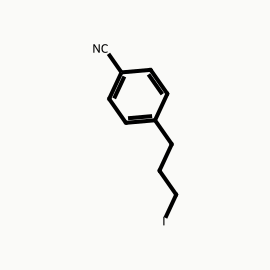 N#Cc1ccc(CCCI)cc1